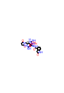 N=C1N[C@H]2C(CN3C(=O)CCC3=O)NC(=N)N3CC(NC(=O)c4cccc5c4CC(=O)N5)C(O)(O)[C@]23N1